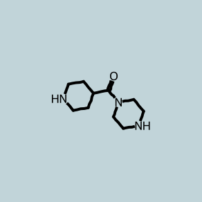 O=C(C1CCNCC1)N1CCNCC1